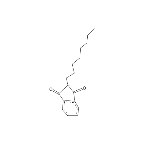 CCCCCCCC[C]1C(=O)c2ccccc2C1=O